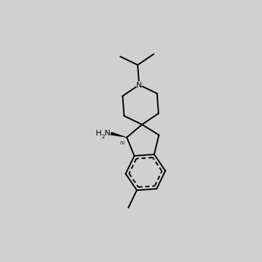 Cc1ccc2c(c1)[C@@H](N)C1(CCN(C(C)C)CC1)C2